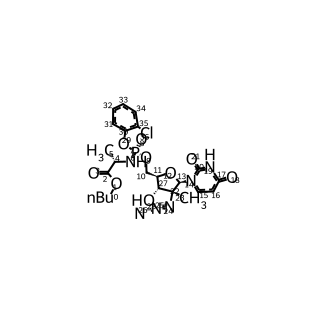 CCCCOC(=O)[C@H](C)NP(=O)(OC[C@H]1O[C@@H](n2ccc(=O)[nH]c2=O)[C@](C)(N=[N+]=[N-])[C@@H]1O)Oc1ccccc1Cl